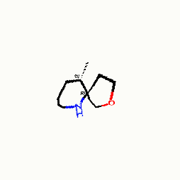 C[C@H]1CCN[C@]12CCOC2